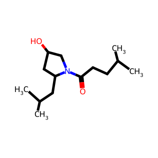 CC(C)CCC(=O)N1CC(O)CC1CC(C)C